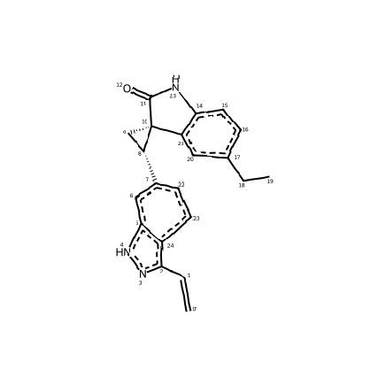 C=Cc1n[nH]c2cc([C@@H]3C[C@@]34C(=O)Nc3ccc(CC)cc34)ccc12